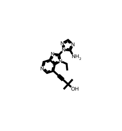 CCn1c(-n2ncnc2N)nc2cncc(C#CC(C)(C)O)c21